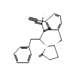 N#Cc1cccc(C[C@H]2CCC(=O)N2C(Cc2ccccc2)C(=O)C(N)=O)c1